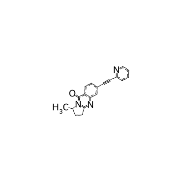 CC1CCc2nc3cc(C#Cc4ccccn4)ccc3c(=O)n21